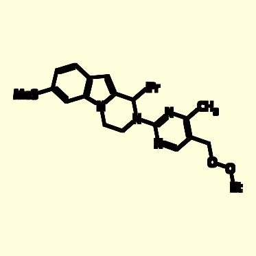 CCOOCc1cnc(N2CCn3c(cc4ccc(SC)cc43)C2C(C)C)nc1C